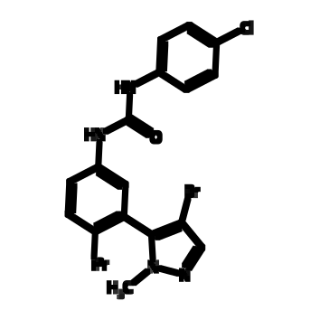 CC(C)c1ccc(NC(=O)Nc2ccc(Cl)cc2)cc1-c1c(Br)cnn1C